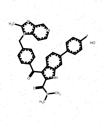 Cc1nc2cnccc2n1Cc1ccc(C(=O)c2c(C(=O)N(C)C)[nH]c3cc(-c4ccc(F)cc4)ccc23)cc1.Cl